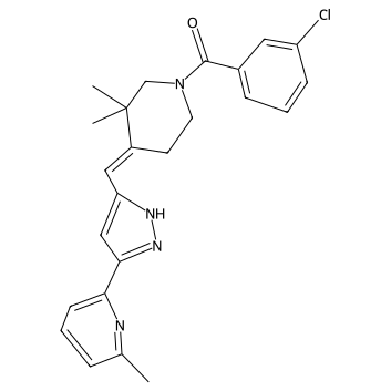 Cc1cccc(-c2cc(/C=C3\CCN(C(=O)c4cccc(Cl)c4)CC3(C)C)[nH]n2)n1